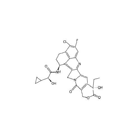 CC[C@@]1(O)C(=O)OCc2c1cc1n(c2=O)Cc2c-1nc1cc(F)c(Cl)c3c1c2[C@@H](NC(=O)[C@@H](O)C1CC1)CC3